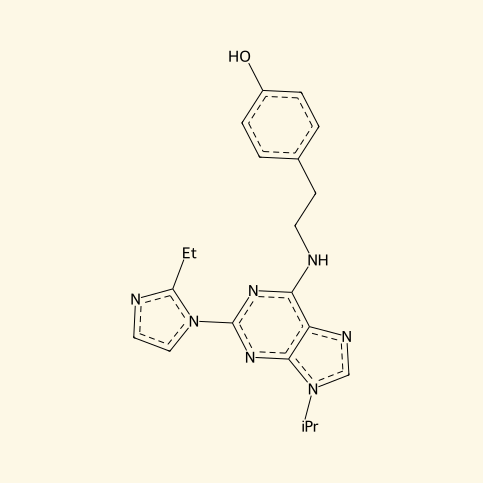 CCc1nccn1-c1nc(NCCc2ccc(O)cc2)c2ncn(C(C)C)c2n1